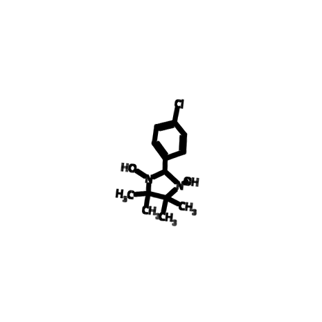 CC1(C)N(O)C(c2ccc(Cl)cc2)N(O)C1(C)C